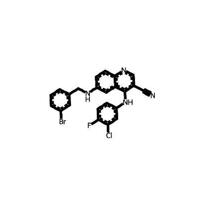 N#Cc1cnc2ccc(NCc3cccc(Br)c3)cc2c1Nc1ccc(F)c(Cl)c1